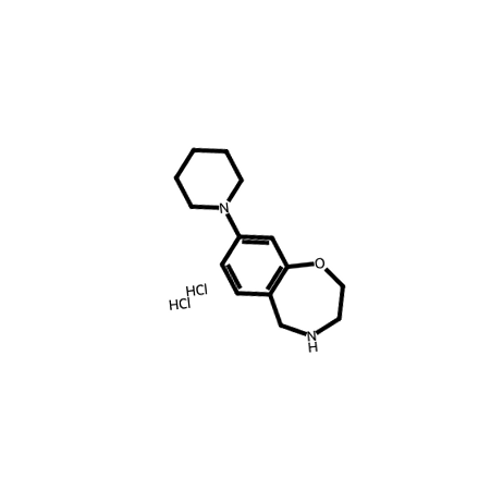 Cl.Cl.c1cc2c(cc1N1CCCCC1)OCCNC2